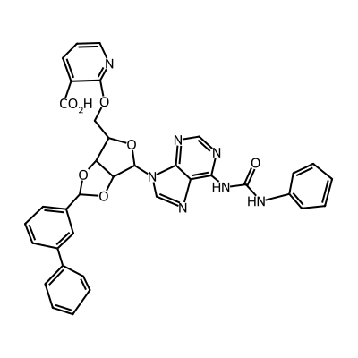 O=C(Nc1ccccc1)Nc1ncnc2c1ncn2C1OC(COc2ncccc2C(=O)O)C2OC(c3cccc(-c4ccccc4)c3)OC21